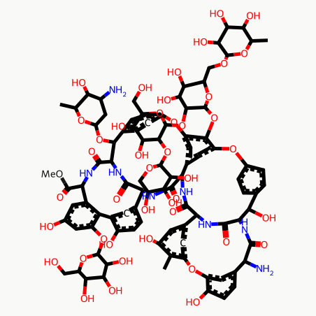 COC(=O)C1NC(=O)C2NC(=O)C(NC(=O)C3NC(=O)C4NC(=O)C(NC(=O)C(N)c5ccc(O)c(c5)Oc5cc4cc(O)c5C)C(O)c4ccc(cc4)Oc4cc3cc(c4OC3OC(COC4OC(C)C(O)C(O)C4O)C(O)C(O)C3OC3OC(CO)C(O)C(O)C3OC3OCC(O)C(O)C3O)Oc3ccc(cc3)C2OC2CC(N)C(O)C(C)O2)c2ccc(O)c(c2)-c2c(OC3OC(CO)C(O)C(O)C3O)cc(O)cc21